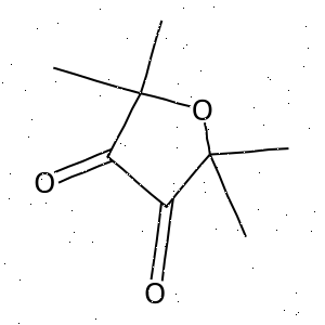 CC1(C)OC(C)(C)C(=O)C1=O